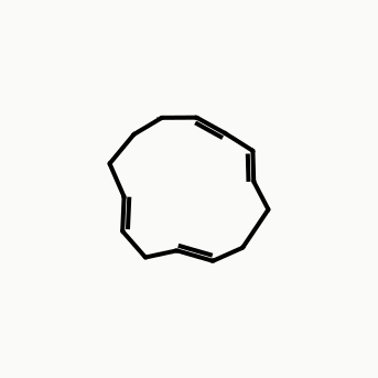 [CH]1/C=C/C=C/CC/C=C/C/C=C/CC1